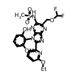 CCOC1=NC(c2nc3nc(COC(F)F)c(NS(C)(=O)=O)nc3n2-c2c(O)cccc2OC)=C=C=C1